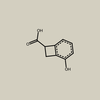 O=C(O)C1Cc2c(O)cccc21